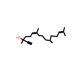 C#CC(C)(O)CC/C=C(/C)CCCC(C)CCC=C(C)C